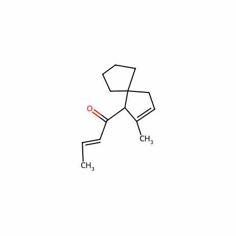 C/C=C/C(=O)C1C(C)=CCC12CCCC2